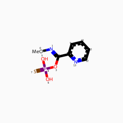 CON=C(OP(O)(O)=S)c1ccccn1